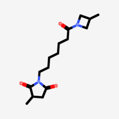 CC1CN(C(=O)CCCCCCN2C(=O)CC(C)C2=O)C1